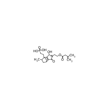 C=C(C)CC(=O)OCCN1C(=O)C2C3CC(C)C(CCP(=O)(O)O)(O3)C2C1O